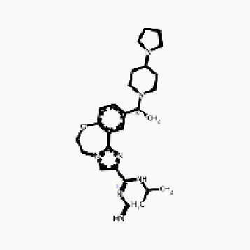 CC(C)N/C(=N\C=N)c1cn2c(n1)-c1cc([C@H](C)N3CCC(N4CCCC4)CC3)ccc1OCC2